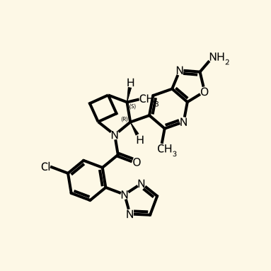 Cc1nc2oc(N)nc2cc1[C@H]1[C@@H](C)C2CC(C2)N1C(=O)c1cc(Cl)ccc1-n1nccn1